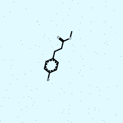 COC(=O)CCc1ccc(Br)cc1